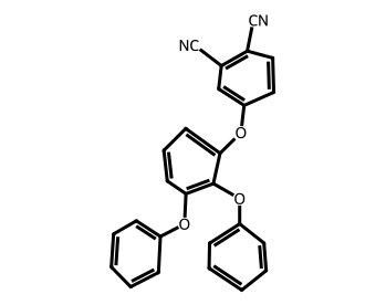 N#Cc1ccc(Oc2cccc(Oc3ccccc3)c2Oc2ccccc2)cc1C#N